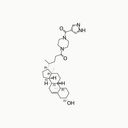 CC(CCC(=O)N1CCN(C(=O)c2cn[nH]c2)CC1)[C@H]1CC[C@H]2[C@@H]3CC=C4C[C@@H](O)CC[C@]4(C)[C@H]3CC[C@]12C